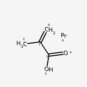 C=C(C)C(=O)O.[Pr]